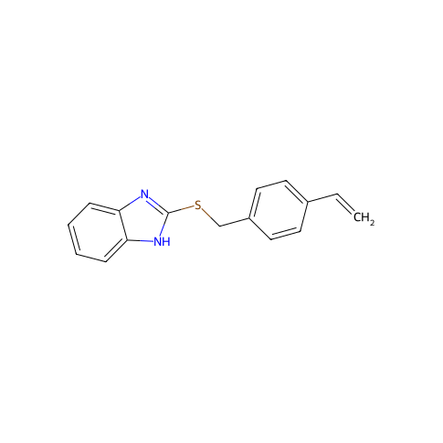 C=Cc1ccc(CSc2nc3ccccc3[nH]2)cc1